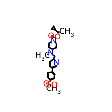 CC(OC(=O)N1CCC(N(C)Cc2ccc(-c3ccc(S(C)(=O)=O)cc3)cn2)CC1)C1CC1